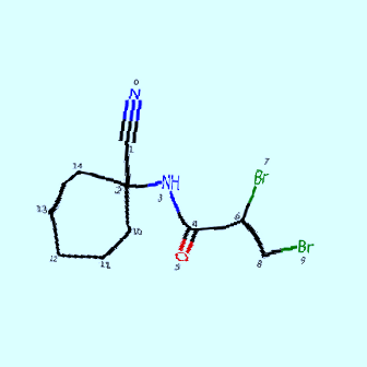 N#CC1(NC(=O)C(Br)CBr)CCCCC1